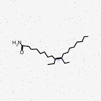 CCCCCCCC/C(CC)=C(/CC)CCCCCCCC(N)=O